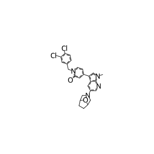 Cn1cc(-c2ccn(Cc3ccc(Cl)c(Cl)c3)c(=O)c2)c2cc(N3CC4CCC(C3)O4)cnc21